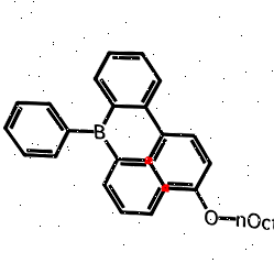 CCCCCCCCOc1ccc(-c2ccccc2B(c2ccccc2)c2ccccc2)cc1